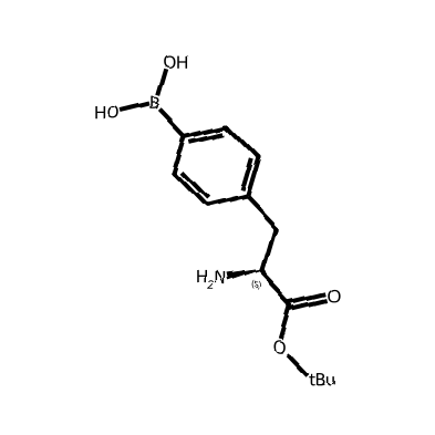 CC(C)(C)OC(=O)[C@@H](N)Cc1ccc(B(O)O)cc1